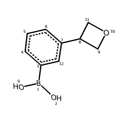 OB(O)c1cccc(C2COC2)c1